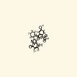 COc1ccc(NS(C)(=O)=O)c(C(=O)N2CCCC[C@H]2c2cc3[nH]c(C)c(C)c(=O)n3n2)c1